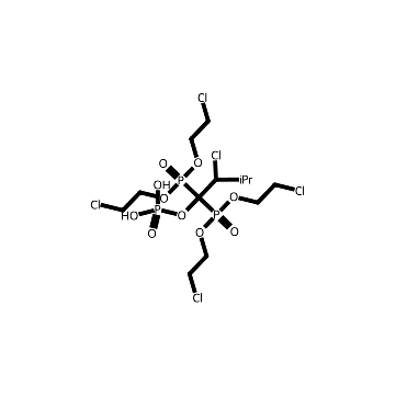 CC(C)C(Cl)C(OP(=O)(O)O)(P(=O)(OCCCl)OCCCl)P(=O)(OCCCl)OCCCl